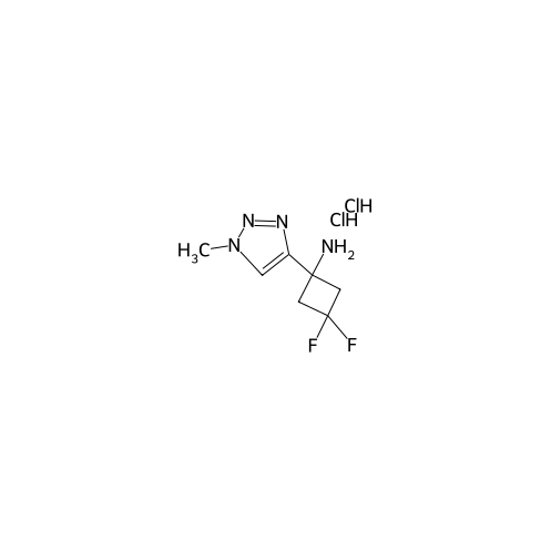 Cl.Cl.Cn1cc(C2(N)CC(F)(F)C2)nn1